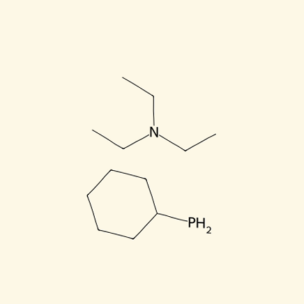 CCN(CC)CC.PC1CCCCC1